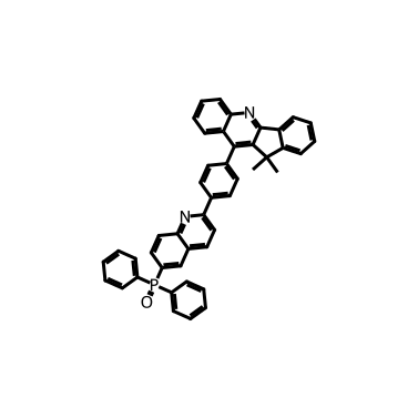 CC1(C)c2ccccc2-c2nc3ccccc3c(-c3ccc(-c4ccc5cc(P(=O)(c6ccccc6)c6ccccc6)ccc5n4)cc3)c21